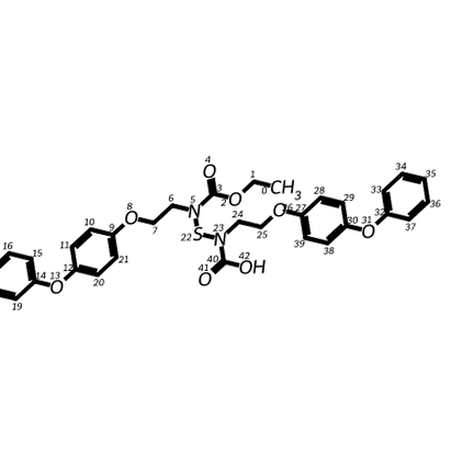 CCOC(=O)N(CCOc1ccc(Oc2ccccc2)cc1)SN(CCOc1ccc(Oc2ccccc2)cc1)C(=O)O